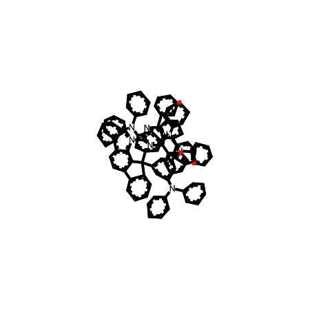 c1ccc(-c2nc(-c3ccccc3)nc(-n3c4ccccc4c4ccc5c(c43)C(c3cc(N(c4ccccc4)c4ccccc4)cc(N(c4ccccc4)c4ccccc4)c3)(c3cc(N(c4ccccc4)c4ccccc4)cc(N(c4ccccc4)c4ccccc4)c3)c3ccccc3-5)n2)cc1